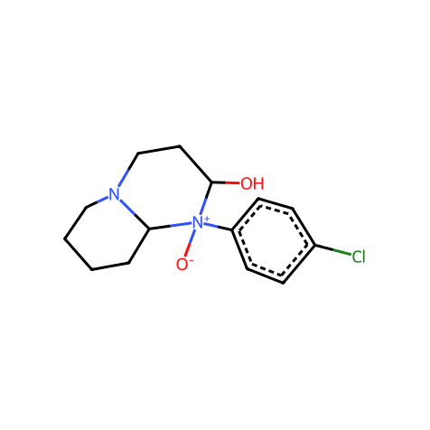 [O-][N+]1(c2ccc(Cl)cc2)C(O)CCN2CCCCC21